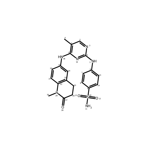 Cc1cnc(Nc2ccc(S(N)(=O)=O)cc2)nc1Nc1ccc2c(c1)CCC(=O)N2C